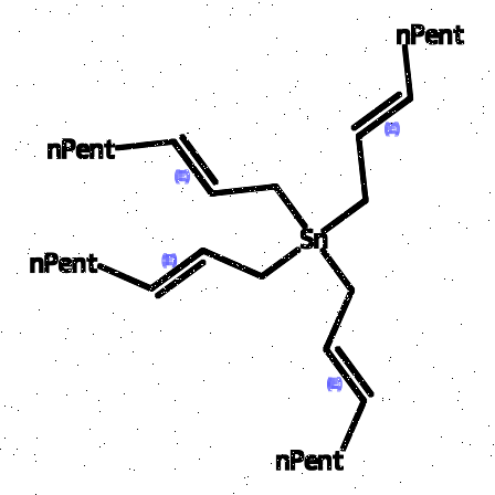 CCCCC/C=C/[CH2][Sn]([CH2]/C=C/CCCCC)([CH2]/C=C/CCCCC)[CH2]/C=C/CCCCC